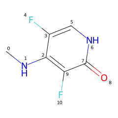 CNc1c(F)c[nH]c(=O)c1F